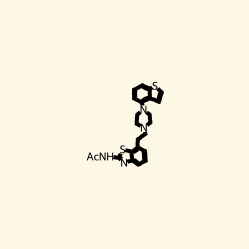 CC(=O)Nc1nc2cccc(CCN3CCN(c4cccc5sccc45)CC3)c2s1